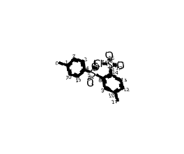 Cc1ccc(S(=O)(=O)c2cc(C)ccc2S(=O)(=O)Cl)cc1